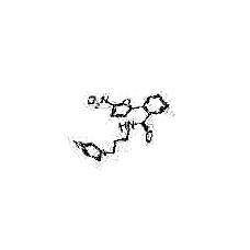 O=C(NCCCn1ccnc1)c1ccccc1-c1ccc([N+](=O)[O-])o1